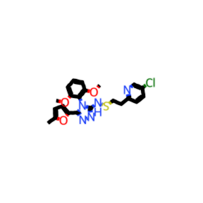 COc1cccc(OC)c1-n1c(NSCCc2ccc(Cl)cn2)nnc1-c1ccc(C)o1